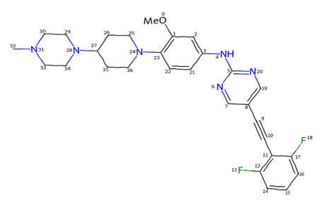 COc1cc(Nc2ncc(C#Cc3c(F)cccc3F)cn2)ccc1N1CCC(N2CCN(C)CC2)CC1